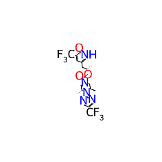 C[C@@H]1CN(C(=O)O[C@@H](C)Cc2c[nH]c(=O)c(C(F)(F)F)c2)C[C@@H](C)N1c1ncc(C(F)(F)F)cn1